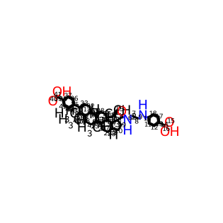 C=C(C)[C@@]1(C(=O)NCCNc2ccc(C(=O)O)cc2)CC[C@@H]2CC[C@]3(C)[C@H](CC[C@@H]4[C@@]5(C)CC=C(c6ccc(C(=O)O)cc6)C(C)(C)[C@@H]5CC[C@]43C)[C@@H]21